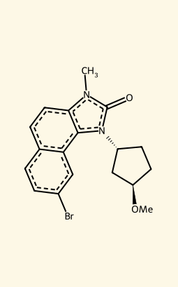 CO[C@@H]1CC[C@@H](n2c(=O)n(C)c3ccc4ccc(Br)cc4c32)C1